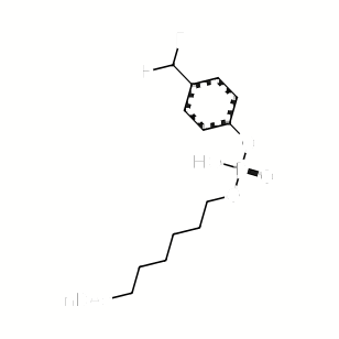 CCCCCCCCCCCCCCCCOP(=O)(O)Oc1ccc(C(F)F)cc1